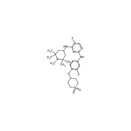 CN1C(C)(C)CC(Nc2nc(Nc3ccc(OC4CCS(=O)(=O)CC4)c(F)c3)ncc2F)CC1(C)C